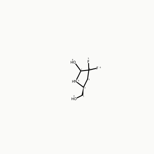 OC[C@@H]1CC(F)(F)C(O)N1